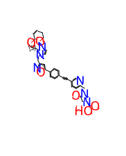 C[C@H](OC1CCCCO1)c1nccn1Cc1cc(-c2ccc(C#Cc3ccc(CN4CN(C(=O)O)CC4=O)nc3)cc2)on1